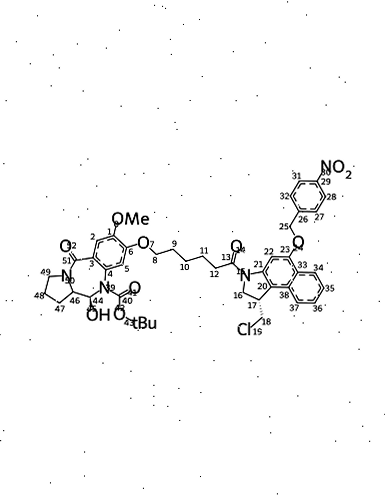 COc1cc2c(cc1OCCCCCC(=O)N1C[C@@H](CCl)c3c1cc(OCc1ccc([N+](=O)[O-])cc1)c1ccccc31)N(C(=O)OC(C)(C)C)[C@@H](O)C1CCCN1C2=O